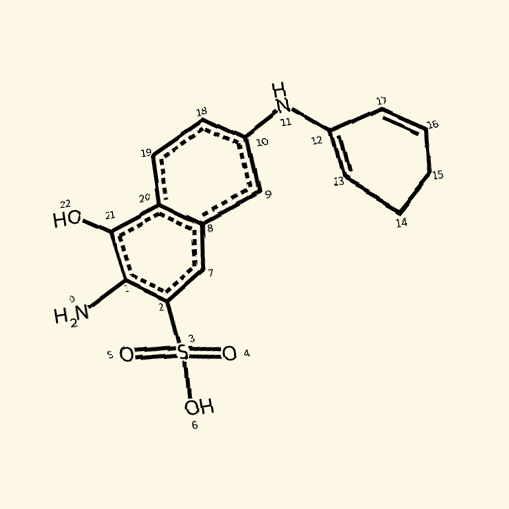 Nc1c(S(=O)(=O)O)cc2cc(NC3=CCCC=C3)ccc2c1O